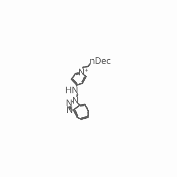 CCCCCCCCCCCC[n+]1ccc(NCn2nnc3c2=CCC=CC=3)cc1